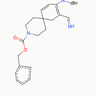 CC(C)(C)NC1=C(C=N)CC2(C=C1)CCN(C(=O)OCc1ccccc1)CC2